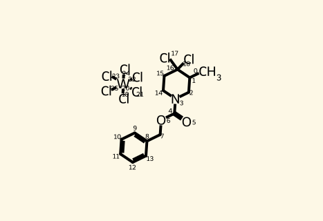 CC1CN(C(=O)OCc2ccccc2)CCC1(Cl)Cl.[Cl][W]([Cl])([Cl])([Cl])([Cl])[Cl]